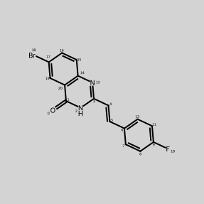 O=c1[nH]c(C=Cc2ccc(F)cc2)nc2ccc(Br)cc12